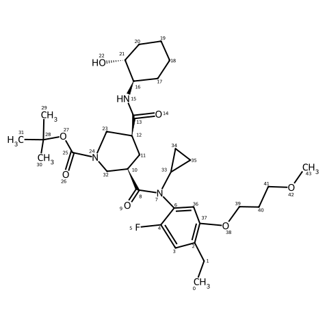 CCc1cc(F)c(N(C(=O)[C@@H]2C[C@H](C(=O)N[C@@H]3CCCC[C@H]3O)CN(C(=O)OC(C)(C)C)C2)C2CC2)cc1OCCCOC